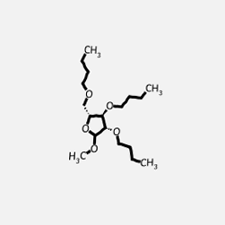 CCCCOC[C@H]1OC(OC)[C@@H](OCCCC)[C@@H]1OCCCC